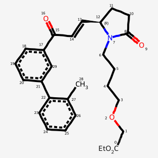 CCOC(=O)COCCCCN1C(=O)CC[C@@H]1C=CC(=O)c1cccc(-c2ccccc2C)c1